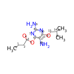 CCCC(=O)Oc1nc(N)nc(OCC(C)C)c1N